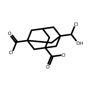 O=C(Cl)C12CC3CC(C(=O)Cl)(C1)CC(C(O)Cl)(C3)C2